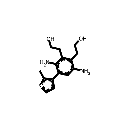 Cc1sccc1-c1cc(N)c(CCO)c(CCO)c1N